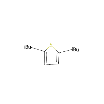 CCC(C)c1ccc(C(C)CC)s1